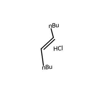 CCCCC=CCCCC.Cl